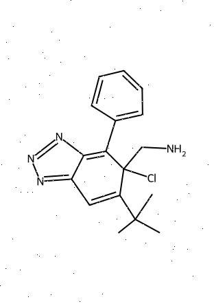 CC(C)(C)C1=CC2=NN=NC2=C(c2ccccc2)C1(Cl)CN